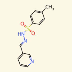 Cc1ccc(S(=O)(=O)NN=Cc2cccnc2)cc1